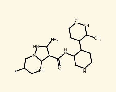 CC1NNCCC1C1CCNCC1NC(=O)C1C(N)NN2CC(F)CNC12